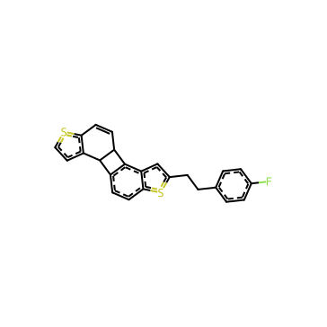 Fc1ccc(CCc2cc3c4c(ccc3s2)C2c3ccsc3C=CC42)cc1